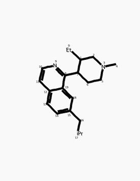 CCC1CN(C)CCC1c1nccc2ccc(CC(C)C)cc12